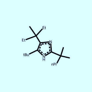 CCCC(C)(C)c1nc(C(C)(CC)CC)c(C(C)(C)C)[nH]1